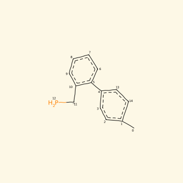 Cc1ccc(-c2ccccc2[C]P)cc1